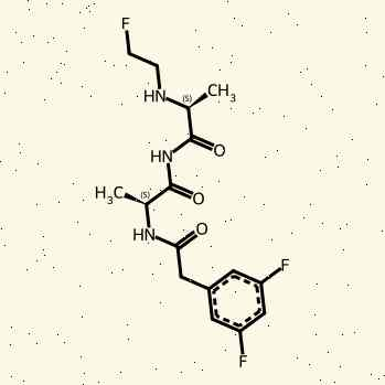 C[C@H](NCCF)C(=O)NC(=O)[C@H](C)NC(=O)Cc1cc(F)cc(F)c1